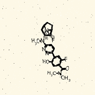 CN(C)C(=O)c1cc(O)c(-c2ccc(N(C)[C@@H]3CC4CCC([C@@H]3F)N4C)nn2)cc1F